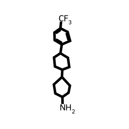 NC1CCC(C2CCC(c3ccc(C(F)(F)F)cc3)CC2)CC1